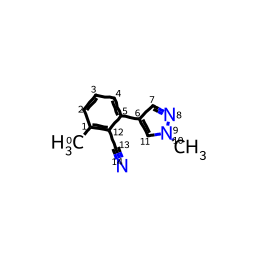 Cc1cccc(-c2cnn(C)c2)c1C#N